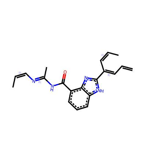 C=C/C=C(\C=C/C)c1nc2c(C(=O)N/C(C)=N/C=C\C)cccc2[nH]1